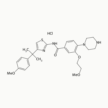 COCCOc1cc(C(=O)Nc2nc(C(C)(C)c3ccc(OC)cc3)cs2)ccc1N1CCNCC1.Cl